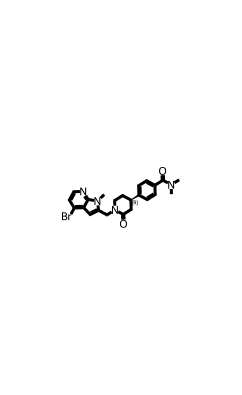 CN(C)C(=O)c1ccc([C@@H]2CCN(Cc3cc4c(Br)ccnc4n3C)C(=O)C2)cc1